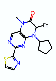 CCC1C(=O)N(C)c2cnc(-c3nccs3)nc2N1C1CCCC1